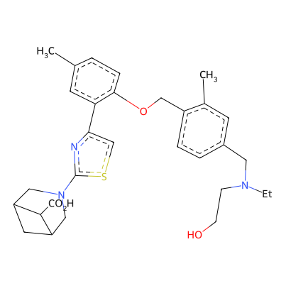 CCN(CCO)Cc1ccc(COc2ccc(C)cc2-c2csc(N3CC4CC(C3)C4C(=O)O)n2)c(C)c1